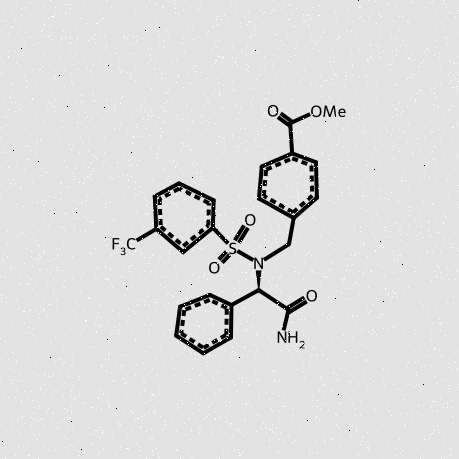 COC(=O)c1ccc(CN([C@@H](C(N)=O)c2ccccc2)S(=O)(=O)c2cccc(C(F)(F)F)c2)cc1